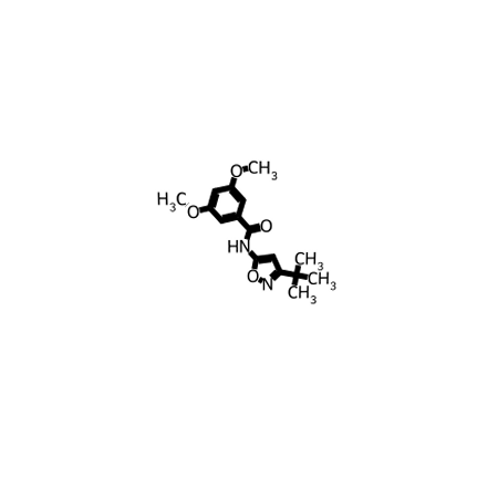 COc1cc(OC)cc(C(=O)Nc2cc(C(C)(C)C)no2)c1